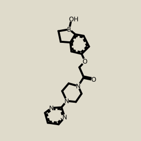 O=C(COc1ccc2c(c1)CCB2O)N1CCN(c2ncccn2)CC1